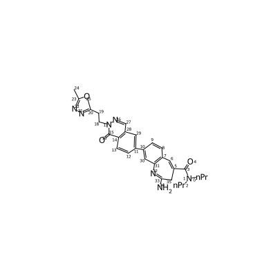 CCCN(CCC)C(=O)C1=Cc2ccc(-c3ccc4c(=O)n(CCc5nnc(C)o5)ncc4c3)cc2N=C(N)C1